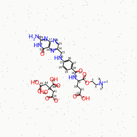 C[N+](C)(C)CCOC(=O)C(CCC(=O)O)NC(=O)c1ccc(NCc2cnc3nc(N)[nH]c(=O)c3n2)cc1.O=C([O-])CC(O)(CC(=O)O)C(=O)O